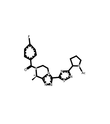 CC(=O)N1CCCC1c1nsc(-c2nnc3n2CCN(C(=O)c2ccc(F)cc2)[C@@H]3C)n1